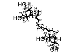 C[SiH](CCCS[Si](C)(C)SCCC[SiH](C)P(PC(C)(C)[Si](C)(C)O)C(C)(C)[Si](C)(C)O)P(PC(C)(C)[Si](C)(C)O)C(C)(C)[Si](C)(C)O